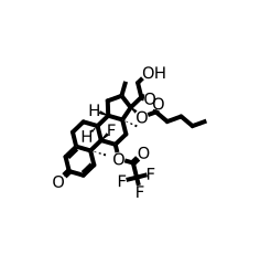 CCCCC(=O)O[C@]1(C(=O)CO)C(C)C[C@H]2[C@@H]3CCC4=CC(=O)C=C[C@]4(C)[C@@]3(F)C(OC(=O)C(F)(F)F)C[C@@]21C